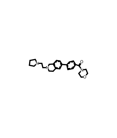 O=C(c1ccc(-c2ccc3c(c2)CCN(CCN2CCCC2)C3)cc1)N1CCOCC1